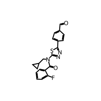 O=Cc1ccc(-c2nnc(N(CC3CC3)C(=O)c3ccccc3F)s2)cc1